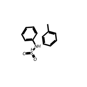 Cc1ccccc1.O=[SH](=O)Nc1ccccc1